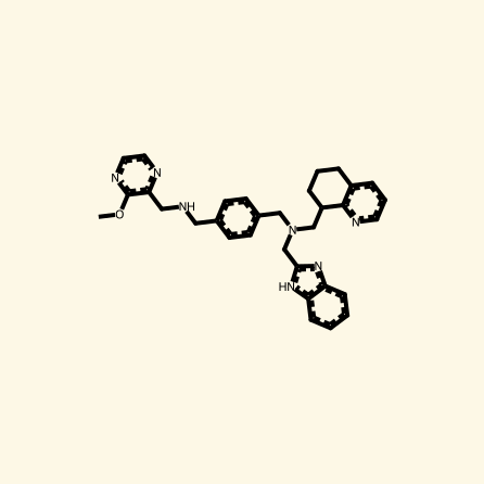 COc1nccnc1CNCc1ccc(CN(Cc2nc3ccccc3[nH]2)CC2CCCc3cccnc32)cc1